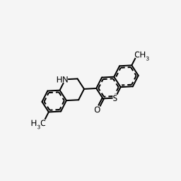 Cc1ccc2c(c1)CC(c1cc3cc(C)ccc3sc1=O)CN2